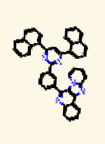 c1cc(-c2nc(-c3cccc4ccccc34)cc(-c3cccc4ccccc34)n2)cc(-c2nc3ccccc3c3nc4ccccn4c23)c1